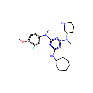 COc1ccc(N(C)c2nc(NC3CCCCCC3)nc(N(C)C3CCCNC3)n2)cc1F